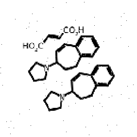 C1=CC(N2CCCC2)CCc2ccccc21.C1=CC(N2CCCC2)CCc2ccccc21.O=C(O)C=CC(=O)O